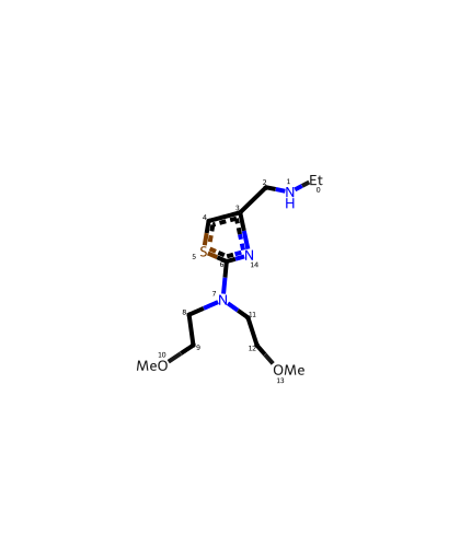 CCNCc1csc(N(CCOC)CCOC)n1